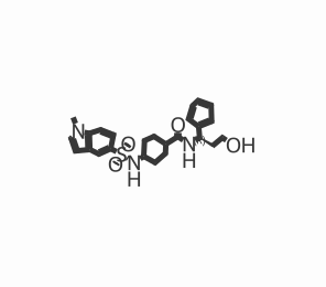 Cn1ccc2cc(S(=O)(=O)NC3CCC(C(=O)N[C@H](CCO)c4ccccc4)CC3)ccc21